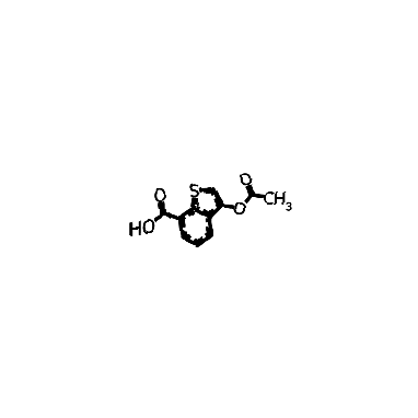 CC(=O)Oc1csc2c(C(=O)O)cccc12